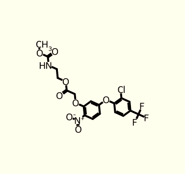 COC(=O)NCCOC(=O)COc1cc(Oc2ccc(C(F)(F)F)cc2Cl)ccc1[N+](=O)[O-]